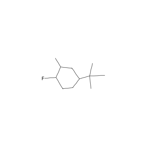 CC1CC(C(C)(C)C)CCC1F